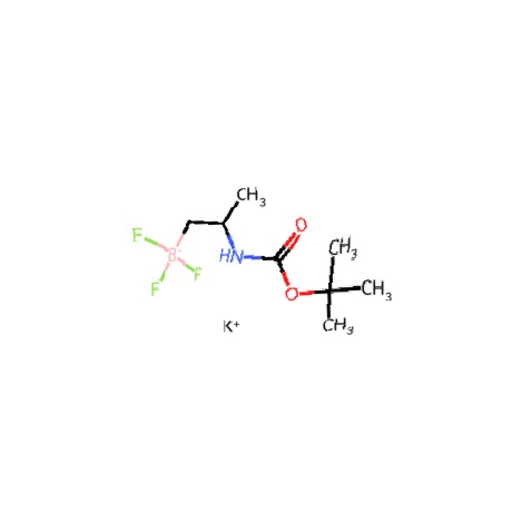 CC(C[B-](F)(F)F)NC(=O)OC(C)(C)C.[K+]